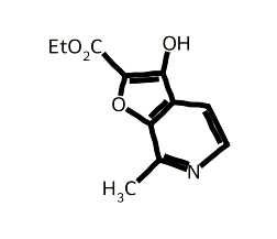 CCOC(=O)c1oc2c(C)nccc2c1O